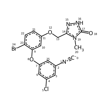 [C-]#[N+]c1cc(Cl)cc(Oc2cc(OCc3n[nH]c(=O)n3C)ccc2Br)c1